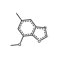 COc1cc(C)cc2n[c]oc12